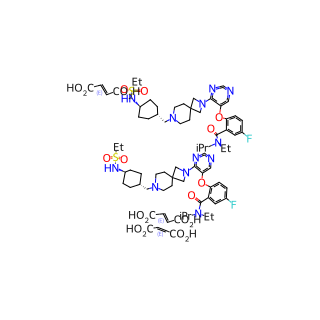 CCN(C(=O)c1cc(F)ccc1Oc1cncnc1N1CC2(CCN(C[C@H]3CC[C@H](NS(=O)(=O)CC)CC3)CC2)C1)C(C)C.CCN(C(=O)c1cc(F)ccc1Oc1cncnc1N1CC2(CCN(C[C@H]3CC[C@H](NS(=O)(=O)CC)CC3)CC2)C1)C(C)C.O=C(O)/C=C/C(=O)O.O=C(O)/C=C/C(=O)O.O=C(O)/C=C/C(=O)O